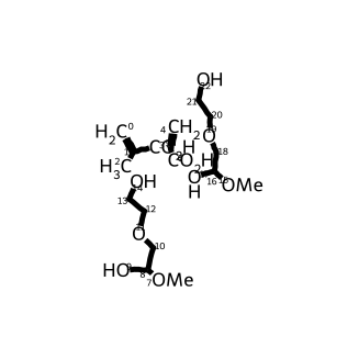 C=C(C)C(=O)O.C=CC(=O)O.COC(O)COCCO.COC(O)COCCO